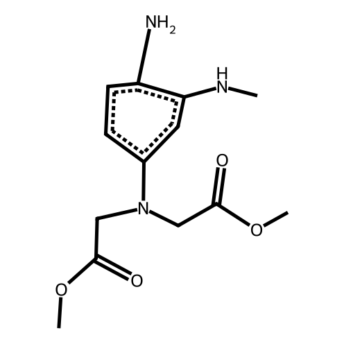 CNc1cc(N(CC(=O)OC)CC(=O)OC)ccc1N